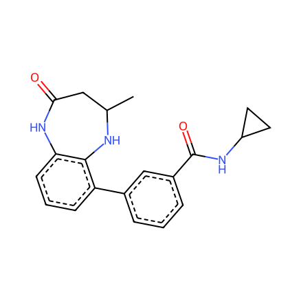 CC1CC(=O)Nc2cccc(-c3cccc(C(=O)NC4CC4)c3)c2N1